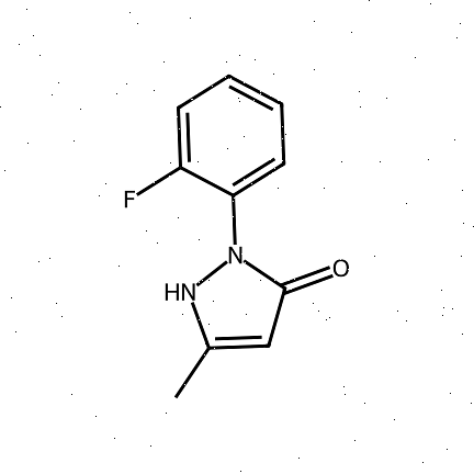 Cc1cc(=O)n(-c2ccccc2F)[nH]1